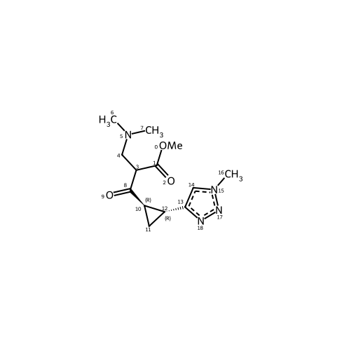 COC(=O)C(CN(C)C)C(=O)[C@@H]1C[C@H]1c1cn(C)nn1